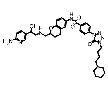 Nc1ccc(C(O)CNCC2CCc3cc(NS(=O)(=O)c4ccc(-n5nnn(CCCCC6CCCCC6)c5=O)cc4)ccc3O2)cn1